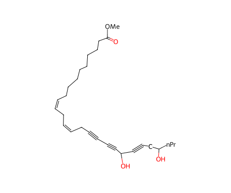 CCCC(O)CC#CC(O)C#CC#CC/C=C\C/C=C\CCCCCCCCC(=O)OC